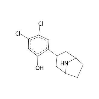 Oc1cc(Cl)c(Cl)cc1C1CC2CCC(C1)N2